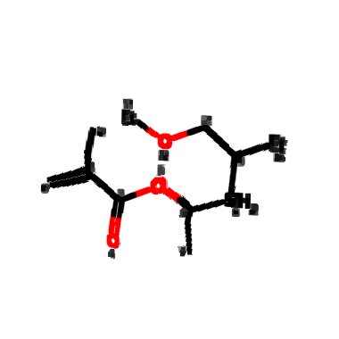 C=C(C)C(=O)OC(C)[SiH2]C(CC)COCC